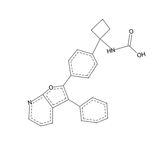 O=C(O)NC1(c2ccc(-c3oc4ncccc4c3-c3ccccc3)cc2)CCC1